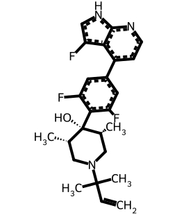 C=CC(C)(C)N1C[C@@H](C)[C@](O)(c2c(F)cc(-c3ccnc4[nH]cc(F)c34)cc2F)[C@@H](C)C1